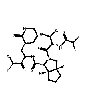 CCC(CC)[C@H](NC(=O)C(F)F)C(=O)N1C[C@@H]2CCC[C@@H]2[C@H]1C(=O)NN(C[C@@H]1CCCNC1=O)C(=O)[C@H](F)Cl